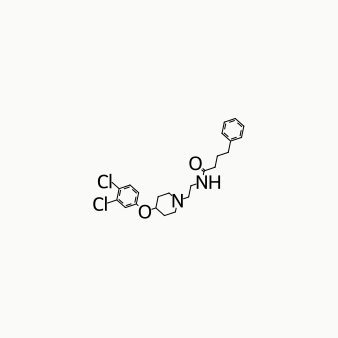 O=C(CCCc1ccccc1)NCCN1CCC(Oc2ccc(Cl)c(Cl)c2)CC1